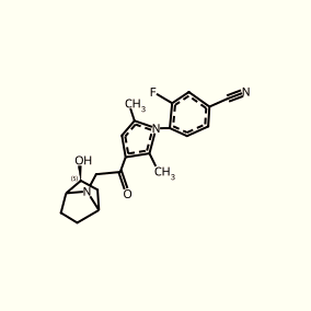 Cc1cc(C(=O)CN2C3CCC2[C@@H](O)C3)c(C)n1-c1ccc(C#N)cc1F